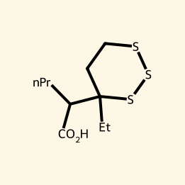 CCCC(C(=O)O)C1(CC)CCSSS1